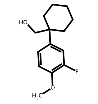 COc1ccc(C2(CO)CCCCC2)cc1F